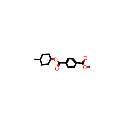 COC(=O)c1ccc(C(=O)OC2CCC(C)CC2)cc1